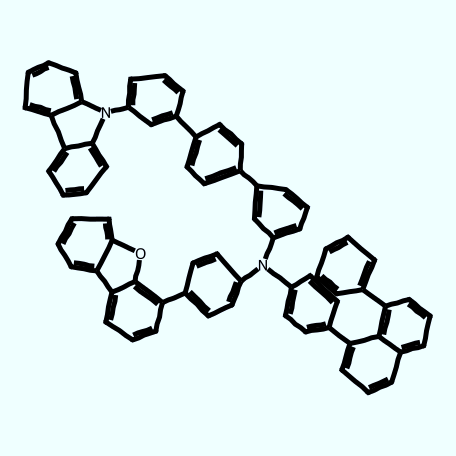 c1ccc(-c2cccc3cccc(-c4ccc(N(c5ccc(-c6cccc7c6oc6ccccc67)cc5)c5cccc(-c6ccc(-c7cccc(-n8c9ccccc9c9ccccc98)c7)cc6)c5)cc4)c23)cc1